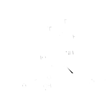 C=CC(=O)O.CSCC[C@H](NCC(F)(F)F)C(=O)O